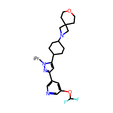 CC(C)n1nc(-c2cncc(OC(F)F)c2)cc1C1CCC(N2CC3(CCOCC3)C2)CC1